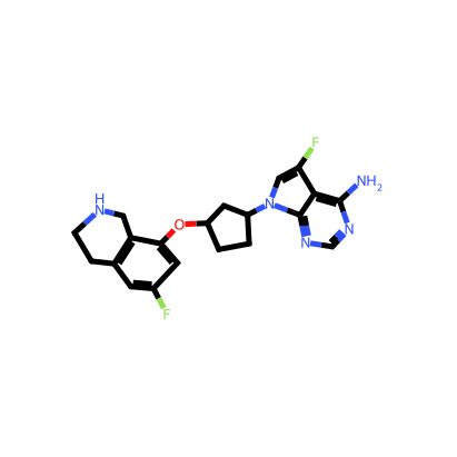 Nc1ncnc2c1c(F)cn2C1CCC(Oc2cc(F)cc3c2CNCC3)C1